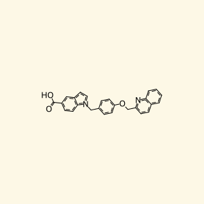 O=C(O)c1ccc2c(ccn2Cc2ccc(OCc3ccc4ccccc4n3)cc2)c1